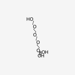 OCCOCCOCCOCCOB(O)O